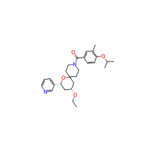 CCO[C@@H]1C[C@H](c2cccnc2)OC2(CCN(C(=O)c3ccc(OC(C)C)c(C)c3)CC2)C1